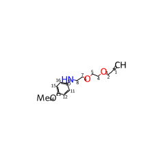 C#CCOCCOCCNc1ccc(OC)cc1